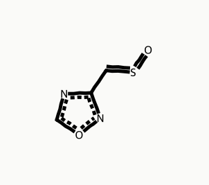 O=S=Cc1ncon1